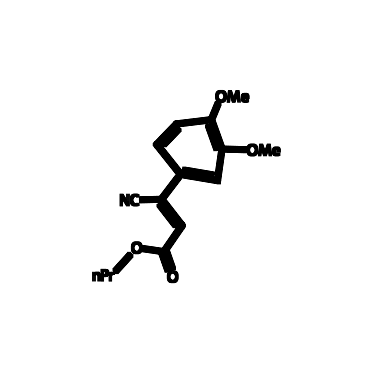 CCCOC(=O)C=C(C#N)c1ccc(OC)c(OC)c1